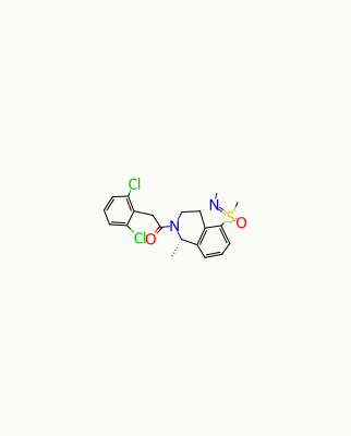 CN=S(C)(=O)c1cccc2c1CCN(C(=O)Cc1c(Cl)cccc1Cl)[C@H]2C